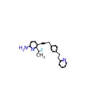 CC(F)c1nc(N)ccc1C#CCc1ccc(CCc2ccccn2)cc1